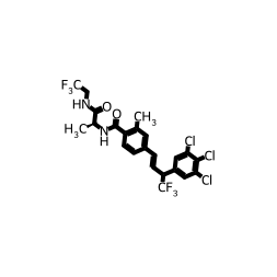 Cc1cc(/C=C/C(c2cc(Cl)c(Cl)c(Cl)c2)C(F)(F)F)ccc1C(=O)N[C@@H](C)C(=O)NCC(F)(F)F